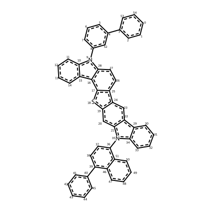 c1ccc(-c2cccc(-n3c4ccccc4c4c5sc6cc7c(cc6c5ccc43)c3ccccc3n7-c3ccc(-c4ccccc4)c4ccccc34)c2)cc1